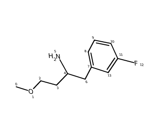 COCCC(N)Cc1cccc(F)c1